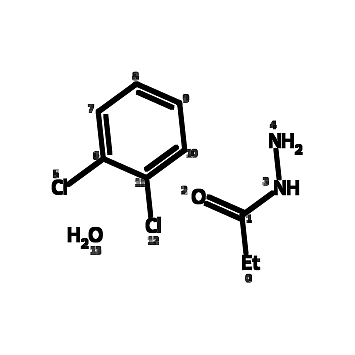 CCC(=O)NN.Clc1ccccc1Cl.O